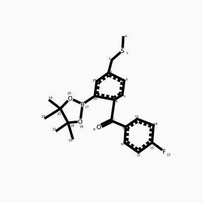 CSCc1ccc(C(=O)c2ccc(F)cc2)c(B2OC(C)(C)C(C)(C)O2)c1